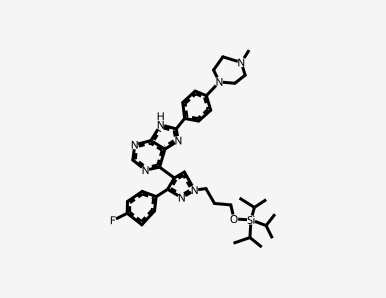 CC(C)[Si](OCCCn1cc(-c2ncnc3[nH]c(-c4ccc(N5CCN(C)CC5)cc4)nc23)c(-c2ccc(F)cc2)n1)(C(C)C)C(C)C